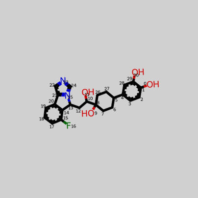 Oc1ccc(C2CCC(O)(C(O)CC3c4c(F)cccc4-c4cncn43)CC2)cc1O